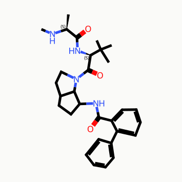 CN[C@@H](C)C(=O)N[C@H](C(=O)N1CCC2CCC(NC(=O)c3ccccc3-c3ccccc3)C21)C(C)(C)C